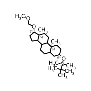 COCO[C@H]1CCC2C3CCC4C[C@@H](O[Si](C)(C)C(C)(C)C)CC[C@]4(C)C3CC[C@@]21C